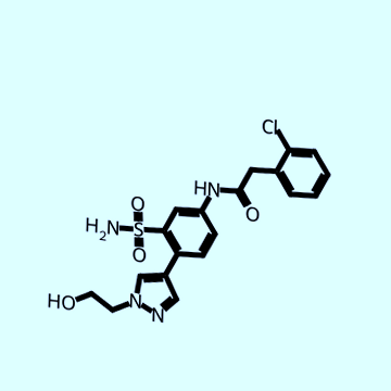 NS(=O)(=O)c1cc(NC(=O)Cc2ccccc2Cl)ccc1-c1cnn(CCO)c1